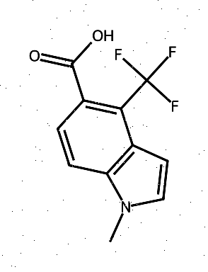 Cn1ccc2c(C(F)(F)F)c(C(=O)O)ccc21